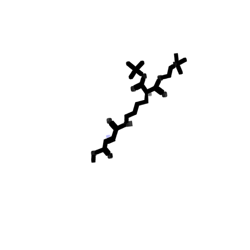 COC(=O)/C=C/C(=O)NCCCC[C@H](C(=O)OCC[Si](C)(C)C)C(=O)OC(C)(C)C